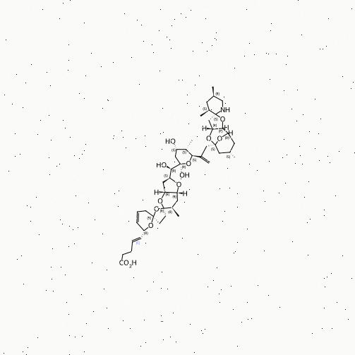 C=C(C[C@@]12C[C@@H](C)C[C@@H](O1)[C@H]1O[C@]3(C[C@H]1O2)NC[C@H](C)C[C@@H]3C)[C@H]1O[C@@](O)([C@H](O)[C@@H]2C[C@H]3O[C@@]4(CC[C@]5(CC=C[C@@H](/C=C/CCC(=O)O)O5)O4)[C@H](C)C[C@H]3O2)C[C@H](O)[C@@H]1C